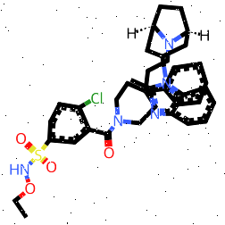 CCONS(=O)(=O)c1ccc(Cl)c(C(=O)N2CCC(CCN3[C@@H]4CC[C@H]3CC(n3c(C)nc5ccccc53)C4)(c3ccccc3)CC2)c1